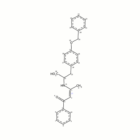 C/C(=C/C(=O)c1ccccc1)NC(Cc1ccc(OCc2ccccc2)cc1)C(=O)O